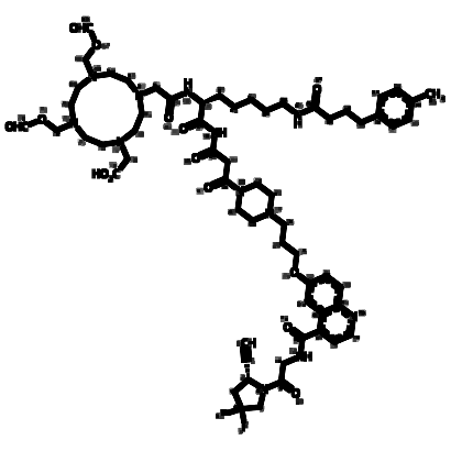 C#C[C@H]1CC(F)(F)CN1C(=O)CNC(=O)c1ccnc2ccc(OCCCN3CCN(C(=O)CC(=O)NC(=O)[C@H](CCCCCNC(=O)CCCc4ccc(C)cc4)NC(=O)CN4CCN(COC=O)CCN(COC=O)CCN(CC(=O)O)CC4)CC3)cc12